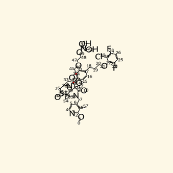 COc1nccc(CN(C(=O)C2(C)C(c3ccc(CCCOc4c(F)ccc(F)c4Cl)cc3)CC3C[S+]([O-])CC2N3C(=O)OCCOCCON(O)O)C2CC2)c1C